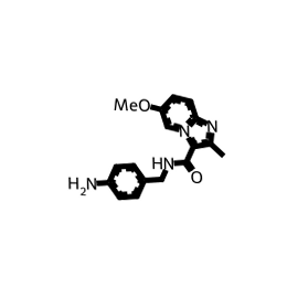 COc1ccc2nc(C)c(C(=O)NCc3ccc(N)cc3)n2c1